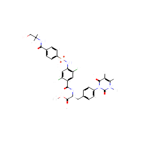 Cc1c(C)n(C)c(=O)n(-c2ccc(C[C@H](NC(=O)c3cc(F)c(NS(=O)(=O)c4ccc(C(=O)NC(C)(C)CO)cc4)cc3F)C(=O)OC(C)C)cc2)c1=O